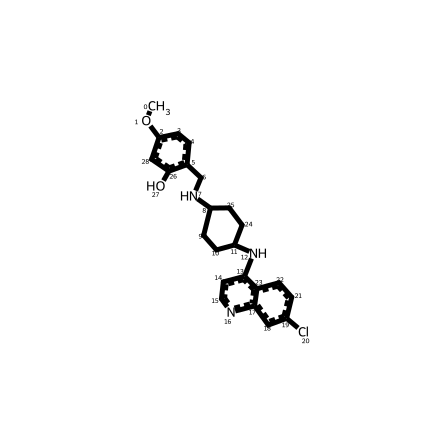 COc1ccc(CNC2CCC(Nc3ccnc4cc(Cl)ccc34)CC2)c(O)c1